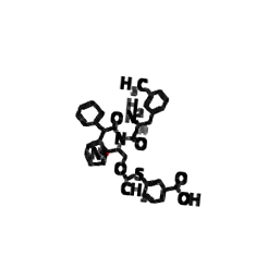 Cc1cccc(C[C@H](N)C(=O)N(C(=O)C(c2ccccc2)c2ccccc2)C(C#N)COC(C)Sc2cccc(C(=O)O)c2)c1